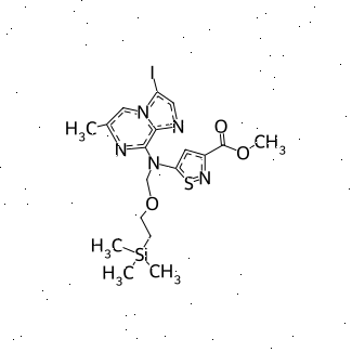 COC(=O)c1cc(N(COCC[Si](C)(C)C)c2nc(C)cn3c(I)cnc23)sn1